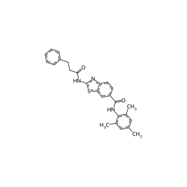 Cc1cc(C)c(NC(=O)c2ccc3nc(NC(=O)CCc4ccccc4)sc3c2)c(C)c1